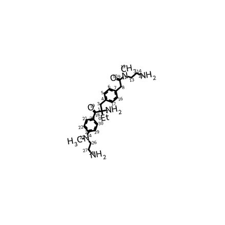 CCC(N)(Cc1ccc(CC(=O)N(C)CCN)cc1)C(=O)c1ccc(N(C)CCN)cc1